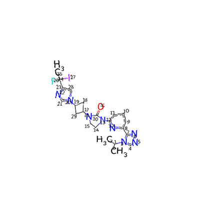 CC(C)n1cnnc1-c1cccc(N2CCN(C3CC(n4cnc(C(C)(F)I)c4)C3)C2=O)n1